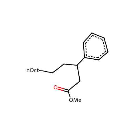 CCCCCCCCCCC(CC(=O)OC)c1ccccc1